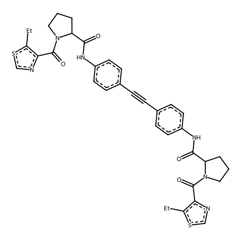 CCc1scnc1C(=O)N1CCCC1C(=O)Nc1ccc(C#Cc2ccc(NC(=O)C3CCCN3C(=O)c3ncsc3CC)cc2)cc1